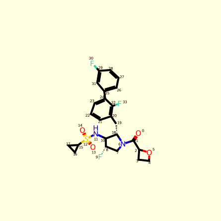 O=C(C1CCO1)N1C[C@H](F)C(NS(=O)(=O)C2CC2)[C@@H]1Cc1cccc(-c2cccc(F)c2)c1F